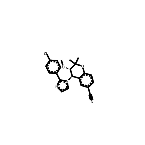 CO[C@H]1[C@H](n2ccnc2-c2ccc(Cl)cc2)c2cc(C#N)ccc2OC1(C)C